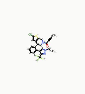 CC#CC(=O)N1Cc2sc(Cl)cc2[C@H](c2ccccc2-c2cn(CC)nc2C(F)(F)F)C1